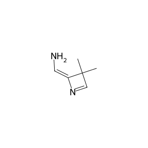 CC1(C)C=N/C1=C/N